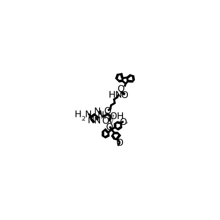 COc1ccc(C(OC[C@H]2O[C@@H](n3cnc4c(N)ncnc43)[C@H](OCCCCCNC(=O)OCC3c4ccccc4-c4ccccc43)[C@@H]2O)(c2ccccc2)c2ccc(OC)cc2)cc1